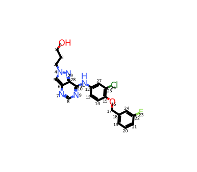 OCCCn1cc2ncnc(Nc3ccc(OCc4cccc(F)c4)c(Cl)c3)c2n1